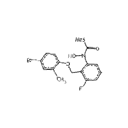 CCc1ccc(OCc2c(F)cccc2N(O)C(=O)SC)c(C)c1